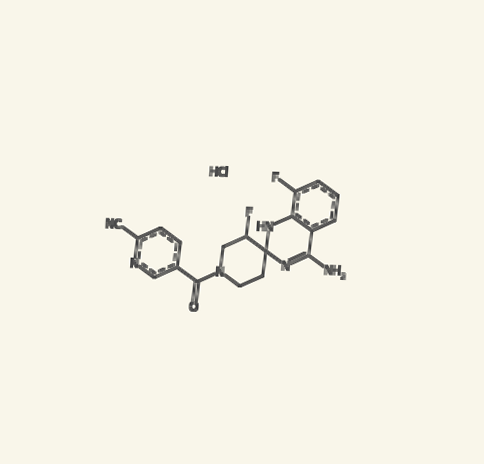 Cl.N#Cc1ccc(C(=O)N2CCC3(N=C(N)c4cccc(F)c4N3)C(F)C2)cn1